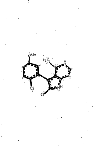 COc1ccc(Cl)c(-c2c(Cl)[nH]c3ncnc(N)c23)c1